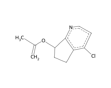 C=C(C)OC1CCc2c(Cl)ccnc21